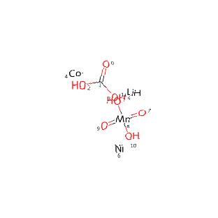 O=C(O)O.[Co].[LiH].[Ni].[O]=[Mn](=[O])([OH])[OH]